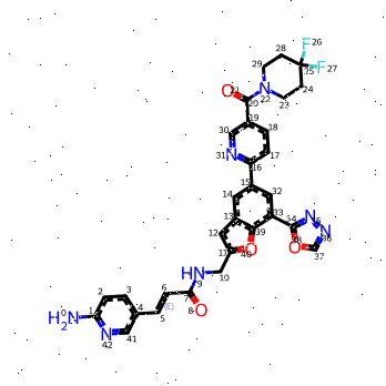 Nc1ccc(/C=C/C(=O)NCc2cc3cc(-c4ccc(C(=O)N5CCC(F)(F)CC5)cn4)cc(-c4nnco4)c3o2)cn1